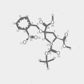 COC(=O)[C@@H]1CC(OCc2ccccc2[N+](=O)[O-])(C(=O)OC)CN1C(=O)OC(C)(C)C